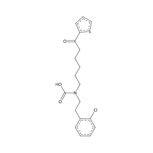 O=C(CCCCCN(CCc1ccccc1Cl)C(=O)O)c1cccs1